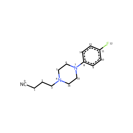 N#CCCCN1CCN(c2ccc(F)cc2)CC1